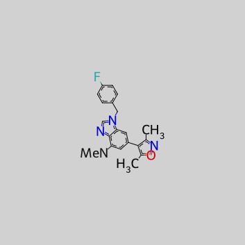 CNc1cc(-c2c(C)noc2C)cc2c1ncn2Cc1ccc(F)cc1